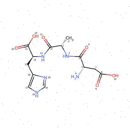 C[C@H](NC(=O)[C@@H](N)CC(=O)O)C(=O)N[C@@H](Cc1c[nH]cn1)C(=O)O